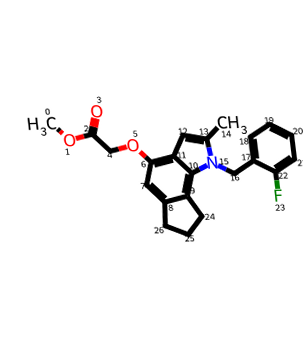 COC(=O)COc1cc2c(c3c1cc(C)n3Cc1ccccc1F)CCC2